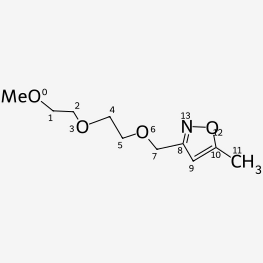 COCCOCCOCc1cc(C)on1